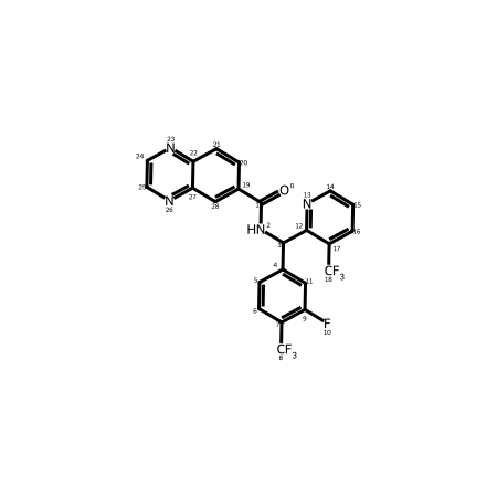 O=C(NC(c1ccc(C(F)(F)F)c(F)c1)c1ncccc1C(F)(F)F)c1ccc2nccnc2c1